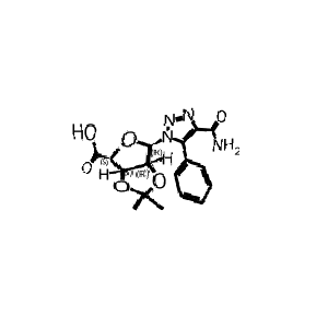 CC1(C)O[C@@H]2[C@H](O1)[C@@H](C(=O)O)O[C@H]2n1nnc(C(N)=O)c1-c1ccccc1